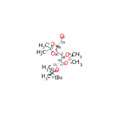 CC1(C)O[C@@H]([C@@H]2OC(C)(C)O[C@@H]2CO[Si](C)(C)C(C)(C)C)[C@@H](C[O])O1